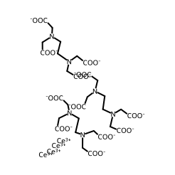 O=C([O-])CN(CCN(CC(=O)[O-])CC(=O)[O-])CC(=O)[O-].O=C([O-])CN(CCN(CC(=O)[O-])CC(=O)[O-])CC(=O)[O-].O=C([O-])CN(CCN(CC(=O)[O-])CC(=O)[O-])CC(=O)[O-].[Ce+3].[Ce+3].[Ce+3].[Ce+3]